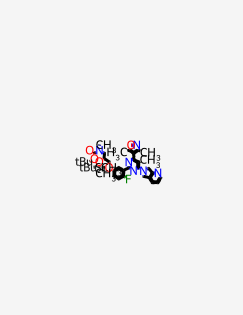 Cc1noc(C)c1-c1nc(-c2cc(OCC(CN(C)C(=O)OC(C)(C)C)O[Si](C)(C)C(C)(C)C)ccc2F)nc(N2Cc3cccnc3C2)c1C